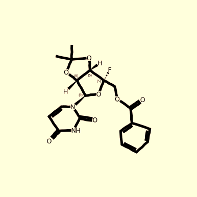 CC1(C)O[C@H]2[C@H](n3ccc(=O)[nH]c3=O)O[C@](F)(COC(=O)c3ccccc3)[C@H]2O1